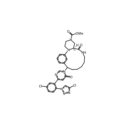 COC(=O)N1CCN2c3cccc(c3)C(n3cnc(-c4cc(Cl)ccc4-n4cc(Cl)nn4)cc3=O)CCCCCNC(=O)[C@@H]2C1